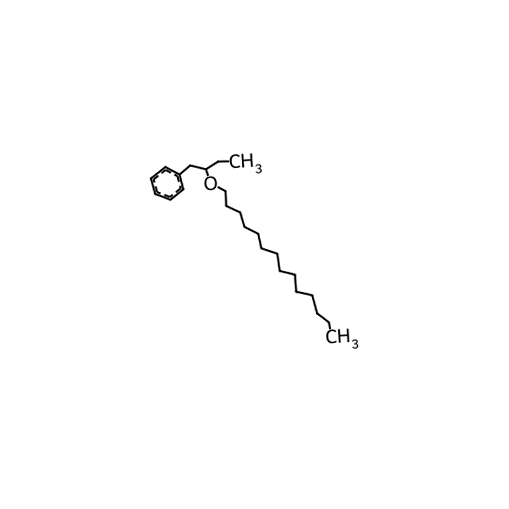 CCCCCCCCCCCCCCOC(CC)Cc1ccccc1